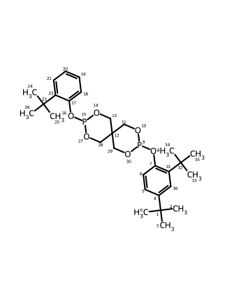 CC(C)(C)c1ccc(OP2OCC3(COP(Oc4ccccc4C(C)(C)C)OC3)CO2)c(C(C)(C)C)c1